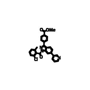 COC(=O)c1ccc(-c2nn(C(=O)c3c(C)cccc3Cl)c3cc(-c4cccnc4)ccc23)cc1